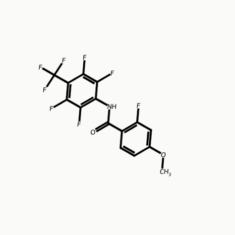 COc1ccc(C(=O)Nc2c(F)c(F)c(C(F)(F)F)c(F)c2F)c(F)c1